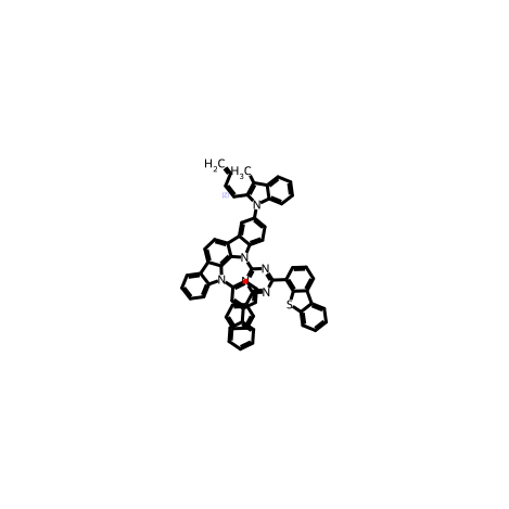 C=C/C=C\c1c(C)c2ccccc2n1-c1ccc2c(c1)c1ccc3c4ccccc4n(-c4cccc(-c5ccccc5)c4)c3c1n2-c1nc(-c2ccccc2)nc(-c2cccc3c2sc2ccccc23)n1